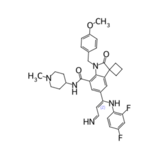 COc1ccc(CN2C(=O)C3(CCC3)c3cc(/C(=C/C=N)Nc4ccc(F)cc4F)cc(C(=O)NC4CCN(C)CC4)c32)cc1